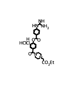 CCOC(=O)CN1CCN(C(=O)c2ccc(OC(=O)c3ccc(NC(=N)N)cc3)cc2)CC1.Cl.Cl